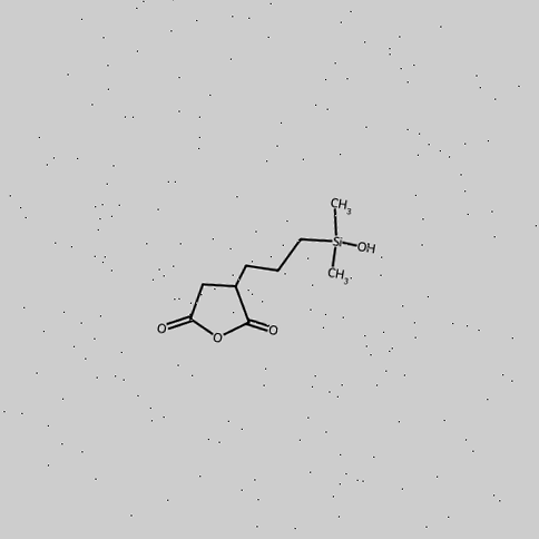 C[Si](C)(O)CCCC1CC(=O)OC1=O